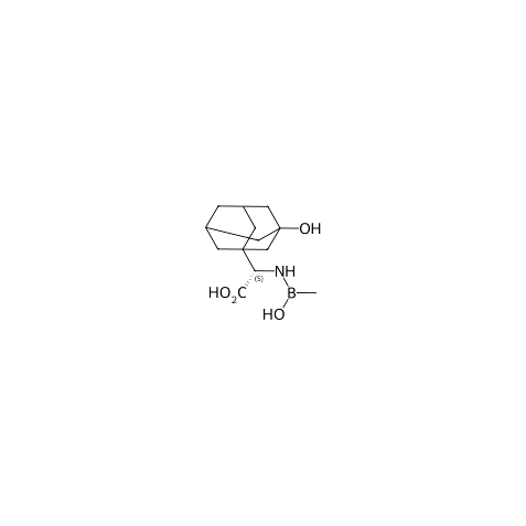 CB(O)N[C@H](C(=O)O)C12CC3CC(CC(O)(C3)C1)C2